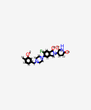 COc1cc(CN2CCN(c3cc4c(cc3F)C(=O)N(C3CCC(=O)NC3=O)C4)CC2)ccc1C